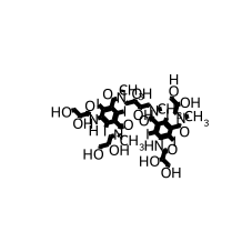 CN(CC(O)CO)C(=O)c1c(I)c(NC(=O)C(O)CO)c(I)c(C(=O)N(C)CC(O)C(O)CN(C)C(=O)c2c(I)c(NC(=O)C(O)CO)c(I)c(C(=O)N(C)CC(O)CO)c2I)c1I